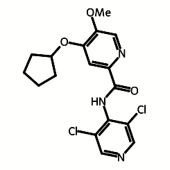 COc1cnc(C(=O)Nc2c(Cl)cncc2Cl)cc1OC1CCCC1